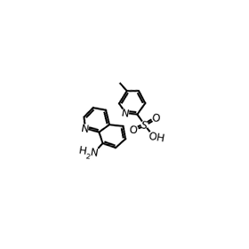 Cc1ccc(S(=O)(=O)O)nc1.Nc1cccc2cccnc12